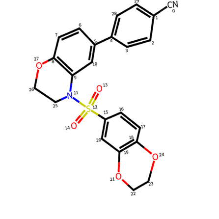 N#Cc1ccc(-c2ccc3c(c2)N(S(=O)(=O)c2ccc4c(c2)OCCO4)CCO3)cc1